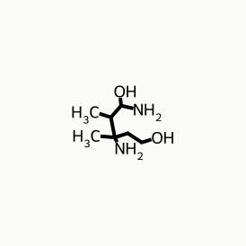 CC(C(N)O)C(C)(N)CCO